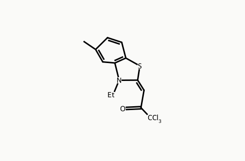 CCN1C(=CC(=O)C(Cl)(Cl)Cl)Sc2ccc(C)cc21